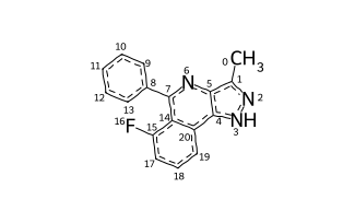 Cc1n[nH]c2c1nc(-c1ccccc1)c1c(F)cccc12